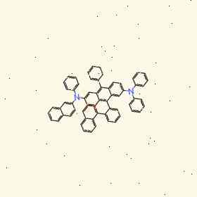 C1=CCCC(c2c3cc(N(c4ccccc4)c4ccc5ccccc5c4)ccc3c(-c3ccccc3-c3cccc4ccccc34)c3cc(N(c4ccccc4)c4ccccc4)ccc23)=C1